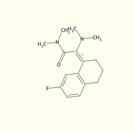 CN(C)C(=O)/C(=C1/CCCc2ccc(F)cc21)N(C)C